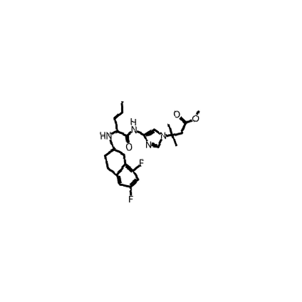 CCCC(NC1CCc2cc(F)cc(F)c2C1)C(=O)Nc1cn(C(C)(C)CC(=O)OC)cn1